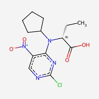 CC[C@H](C(=O)O)N(c1nc(Cl)ncc1[N+](=O)[O-])C1CCCC1